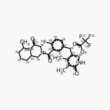 Cc1c(C)c(=O)[nH][n+](OC(=O)C(F)(F)F)c1Cc1ccc(F)c(C(=O)N2CC(=O)N3C(C)CCCC3C2)c1